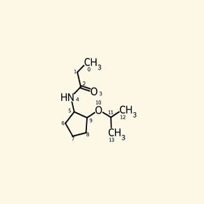 CCC(=O)NC1CCCC1OC(C)C